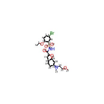 CCOc1ccc(Br)cc1S(=O)(=O)NC(=O)c1cc2ccc(N(C)CCOC)cc2o1